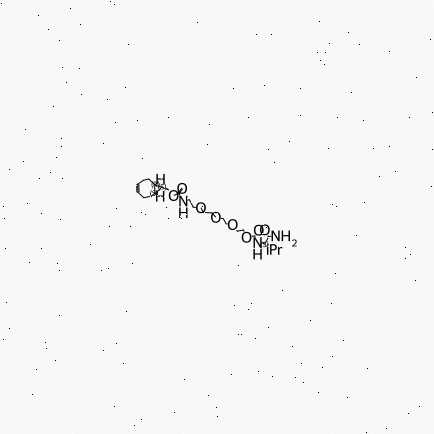 CC(C)[C@H](NC(=O)OCCOCCOCCOCCNC(=O)OC[C@@H]1[C@@H]2CCC#CCC[C@@H]21)C(N)=O